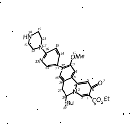 CCOC(=O)c1cn2c(cc1=O)-c1cc(OC)c(-c3ccc(N4CCNCC4)nc3)cc1CC2C(C)(C)C